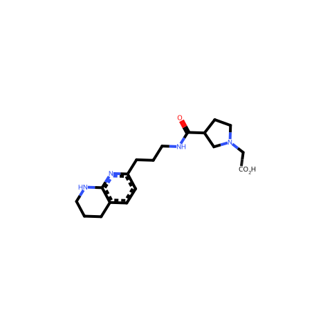 O=C(O)CN1CCC(C(=O)NCCCc2ccc3c(n2)NCCC3)C1